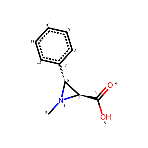 CN1[C@H](C(=O)O)[C@H]1c1ccccc1